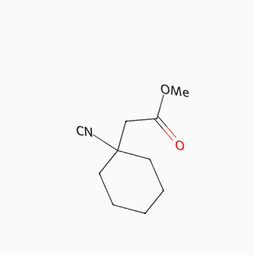 [C-]#[N+]C1(CC(=O)OC)CCCCC1